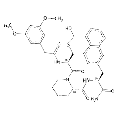 COc1cc(CC(=O)N[C@@H](CSCO)C(=O)N2CCCC[C@H]2C(=O)N[C@@H](Cc2ccc3ccccc3c2)C(N)=O)cc(OC)c1